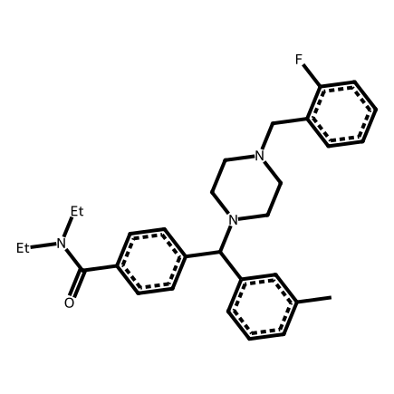 CCN(CC)C(=O)c1ccc(C(c2cccc(C)c2)N2CCN(Cc3ccccc3F)CC2)cc1